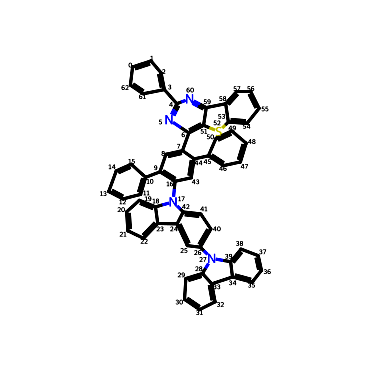 c1ccc(-c2nc(-c3cc(-c4ccccc4)c(-n4c5ccccc5c5cc(-n6c7ccccc7c7ccccc76)ccc54)cc3-c3ccccc3)c3sc4ccccc4c3n2)cc1